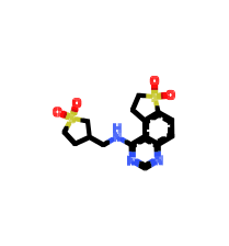 O=S1(=O)CCC(CNc2ncnc3ccc4c(c23)CCS4(=O)=O)C1